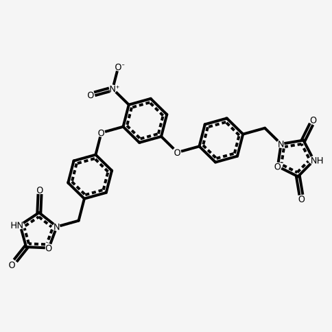 O=c1[nH]c(=O)n(Cc2ccc(Oc3ccc([N+](=O)[O-])c(Oc4ccc(Cn5oc(=O)[nH]c5=O)cc4)c3)cc2)o1